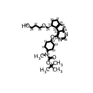 CN(C(=O)OC(C)(C)C)C1CCC(Oc2ncnc3sc4c(c23)[C@@H](COCCCO)CC4)CC1